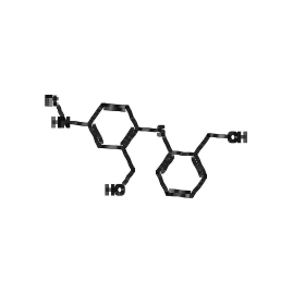 CCNc1ccc(Sc2ccccc2CO)c(CO)c1